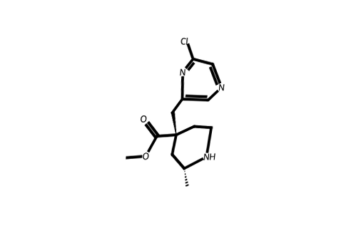 COC(=O)[C@]1(Cc2cncc(Cl)n2)CCN[C@H](C)C1